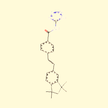 CC1(C)CC(C)(C)c2cc(/C=C/c3ccc(C(=O)Nc4nnn[nH]4)cc3)ccc21